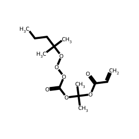 C=CC(=O)OC(C)(C)OC(=O)OOOC(C)(C)CCC